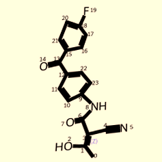 C/C(O)=C(\C#N)C(=O)Nc1ccc(C(=O)c2ccc(F)cc2)cc1